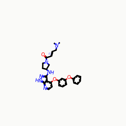 CN(C)C/C=C/C(=O)N1CCC(Nc2n[nH]c3nccc(Oc4cccc(Oc5ccccc5)c4)c23)C1